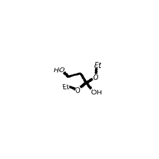 CCOC(O)(CCO)OCC